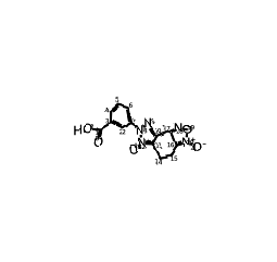 O=C(O)c1cccc(-n2nc3c([n+]2[O-])CCc2c-3no[n+]2[O-])c1